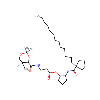 CCCCCCCCCCCCCC1(C(=O)NC2CCCC2OC(=O)CCNC(=O)C2OC(C)(C)OCC2(C)C)CCCC1